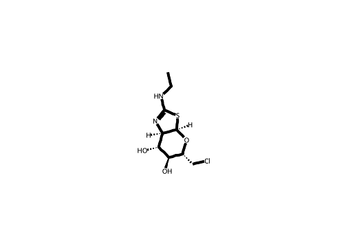 CCNC1=N[C@@H]2[C@@H](O)[C@H](O)[C@@H](CCl)O[C@@H]2S1